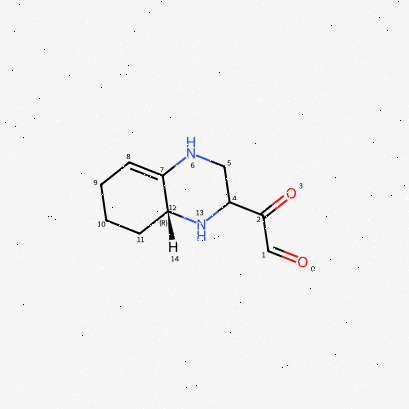 O=CC(=O)C1CNC2=CCCC[C@H]2N1